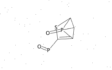 O=PC1=C2C3C(S1)P23=O